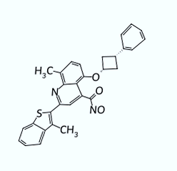 Cc1c(-c2cc(C(=O)N=O)c3c(O[C@H]4C[C@@H](c5ccccc5)C4)ccc(C)c3n2)sc2ccccc12